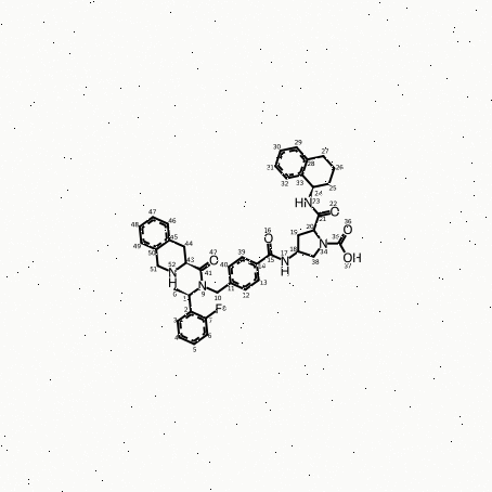 C[C@H](c1ccccc1F)N(Cc1ccc(C(=O)NC2CC(C(=O)N[C@@H]3CCCc4ccccc43)N(C(=O)O)C2)cc1)C(=O)[C@@H]1Cc2ccccc2CN1